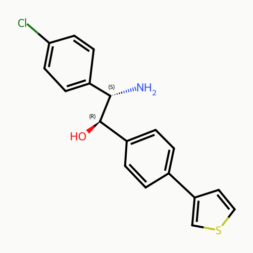 N[C@@H](c1ccc(Cl)cc1)[C@H](O)c1ccc(-c2ccsc2)cc1